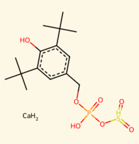 CC(C)(C)c1cc(COP(=O)(O)O[SH](=O)=O)cc(C(C)(C)C)c1O.[CaH2]